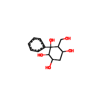 OCC1C(O)CC(O)C(O)C1(O)c1ccccc1